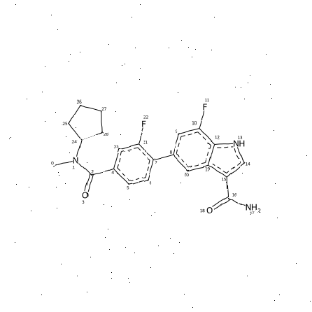 CN(C(=O)c1ccc(-c2cc(F)c3[nH]cc(C(N)=O)c3c2)c(F)c1)C1CCCC1